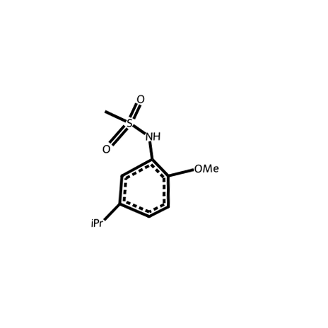 COc1ccc(C(C)C)cc1NS(C)(=O)=O